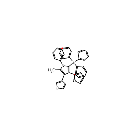 Cc1c(-c2ccoc2)c(-c2ccco2)c([Si](c2ccccc2)(c2ccccc2)c2ccccc2)n1-c1ccccc1